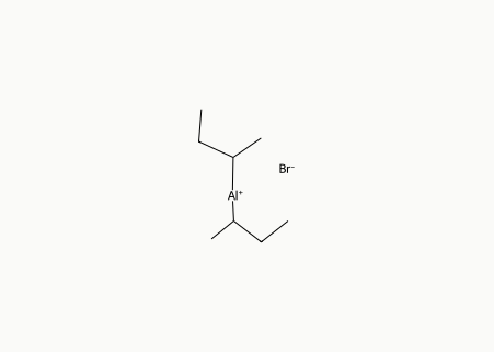 CC[CH](C)[Al+][CH](C)CC.[Br-]